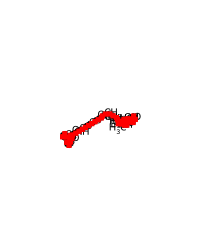 CCC(=O)O[C@]1(C(=O)COC(=O)NCCSSC(C)(C)CNC(=O)CCOCCOCCOCCOCCNC(=O)CCN2C(=O)C(Sc3ccccc3)=C(Sc3ccccc3)C2=O)[C@@H](C)CC2[C@@H]3CCC4=CC(=O)C=C[C@]4(C)[C@@]3(Cl)[C@@H](O)C[C@@]21C